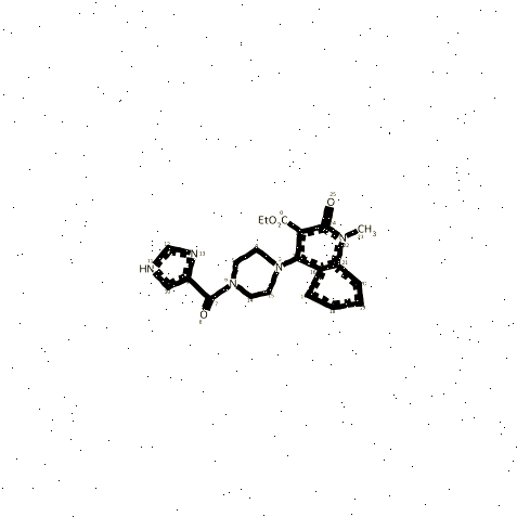 CCOC(=O)c1c(N2CCN(C(=O)c3c[nH]cn3)CC2)c2ccccc2n(C)c1=O